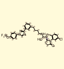 CC(C)c1ccc(Cl)cc1N1C(=O)CS/C1=N\C(O)NCCCCc1cccc(-c2ncn(-c3ccc(OC(F)(F)F)cc3)n2)c1